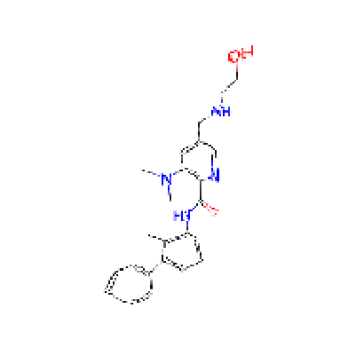 Cc1c(NC(=O)c2ncc(CNCCO)cc2N(C)C)cccc1-c1ccccc1